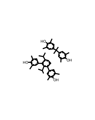 Cc1cc(-c2ccc(C(C)C)c(-c3cc(C)c(O)c(C)c3)c2C(C)C)cc(C)c1O.Cc1cc(C(C)(C)c2cc(C)c(O)c(C)c2)cc(C)c1O